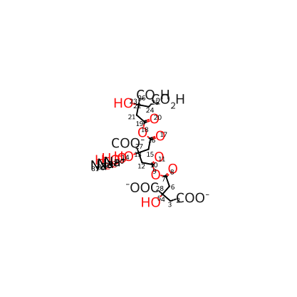 O.O.O=C([O-])CC(O)(CC(=O)OC(=O)CC(O)(CC(=O)OC(=O)CC(O)(CC(=O)O)C(=O)O)C(=O)[O-])C(=O)[O-].[Na+].[Na+].[Na+]